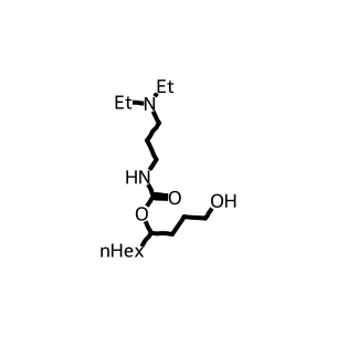 CCCCCCC(CCCO)OC(=O)NCCCN(CC)CC